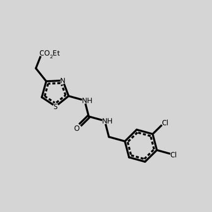 CCOC(=O)Cc1csc(NC(=O)NCc2ccc(Cl)c(Cl)c2)n1